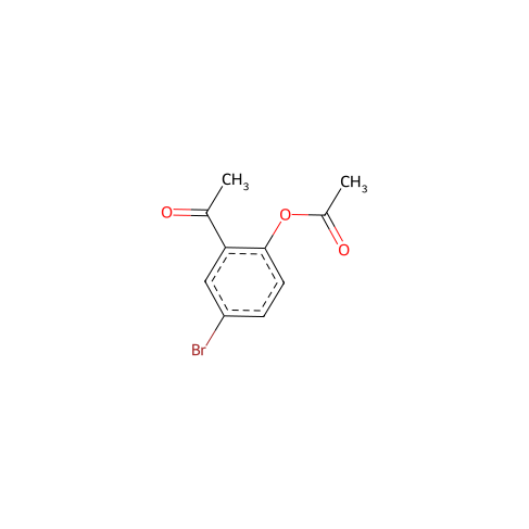 CC(=O)Oc1ccc(Br)cc1C(C)=O